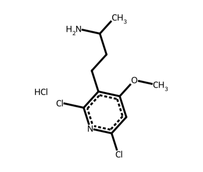 COc1cc(Cl)nc(Cl)c1CCC(C)N.Cl